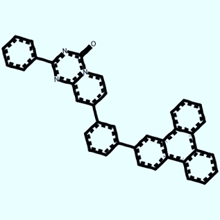 O=c1nc(-c2ccccc2)nc2cc(-c3cccc(-c4ccc5c6ccccc6c6ccccc6c5c4)c3)ccn12